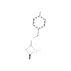 O=C1CC(SCc2ccc(Cl)cc2)N1